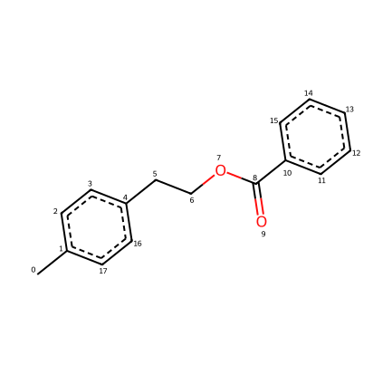 Cc1ccc(CCOC(=O)c2ccccc2)cc1